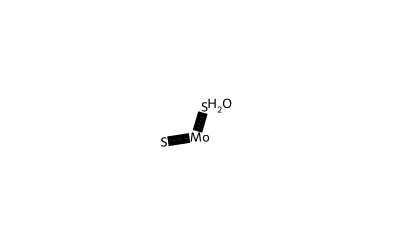 O.[S]=[Mo]=[S]